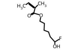 CC=C(C)C(=O)OCCCCCC(O)F